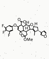 COC(=O)CC1[C@@]2(C)C(=O)C=C(Oc3cc(F)c(F)c(F)c3)[C@@]3(C)C(=O)O[C@H](C32)[C@H]2O[C@H]3C[C@@H](c4ccoc4)C(C)=C3[C@@]12C